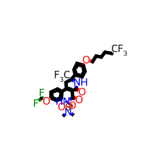 CN(C)S(=O)(=O)NC(=O)C1=C(c2ccc(OC(F)F)cc2)CC(c2ccc(OCCCCCC(F)(F)F)cc2)(C(F)(F)F)NC1=O